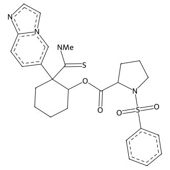 CNC(=S)C1(c2ccc3nccn3c2)CCCCC1OC(=O)C1CCCN1S(=O)(=O)c1ccccc1